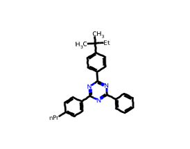 CCCc1ccc(-c2nc(-c3ccccc3)nc(-c3ccc(C(C)(C)CC)cc3)n2)cc1